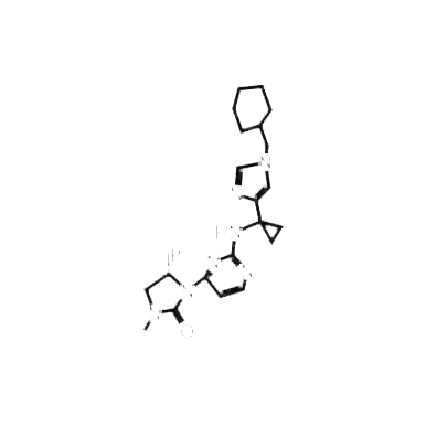 CC(C)[C@H]1CN(C)C(=O)N1c1ccnc(NC2(c3cn(CC4CCCCC4)cn3)CC2)n1